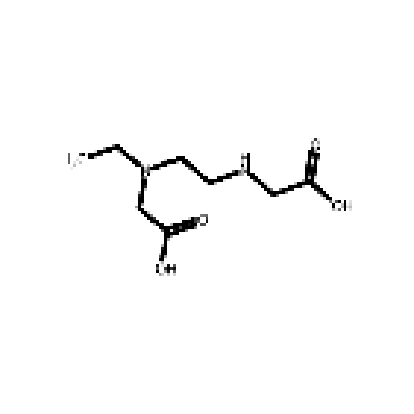 CCN(CCNCC(=O)O)CC(=O)O